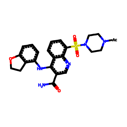 CC(=O)N1CCN(S(=O)(=O)c2cccc3c(Nc4cccc5c4CCO5)c(C(N)=O)cnc23)CC1